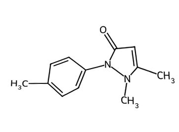 Cc1ccc(-n2c(=O)cc(C)n2C)cc1